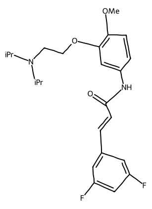 COc1ccc(NC(=O)/C=C/c2cc(F)cc(F)c2)cc1OCCN(C(C)C)C(C)C